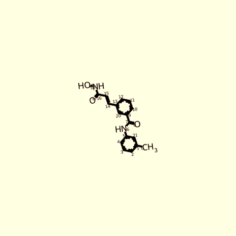 Cc1cccc(NC(=O)c2cccc(C=CC(=O)NO)c2)c1